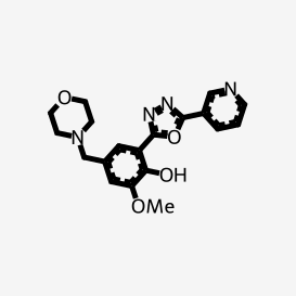 COc1cc(CN2CCOCC2)cc(-c2nnc(-c3cccnc3)o2)c1O